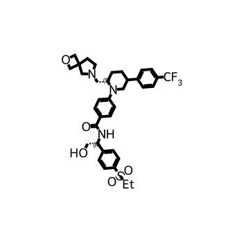 CCS(=O)(=O)c1ccc([C@H](CO)NC(=O)c2ccc(N3CC(c4ccc(C(F)(F)F)cc4)CC[C@H]3CN3CCC4(COC4)C3)cc2)cc1